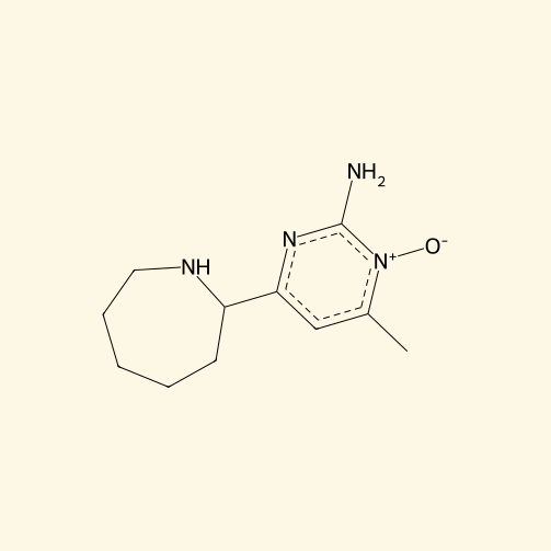 Cc1cc(C2CCCCCN2)nc(N)[n+]1[O-]